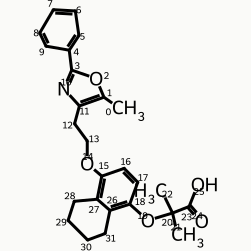 Cc1oc(-c2ccccc2)nc1CCOc1ccc(OC(C)(C)C(=O)O)c2c1CCCC2